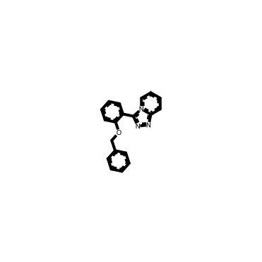 [c]1ccc2nnc(-c3ccccc3OCc3ccccc3)n2c1